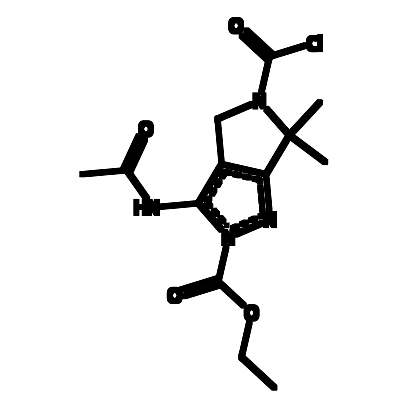 CCOC(=O)n1nc2c(c1NC(C)=O)CN(C(=O)Cl)C2(C)C